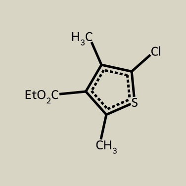 CCOC(=O)c1c(C)sc(Cl)c1C